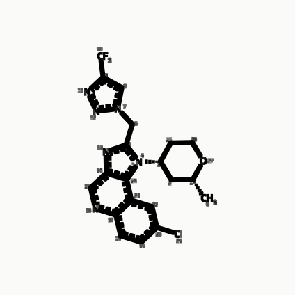 C[C@@H]1C[C@H](n2c(Cn3cc(C(F)(F)F)nn3)nc3cnc4ccc(Cl)cc4c32)CCO1